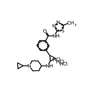 Cc1nnc(NC(=O)c2cccc(C3CC3NC3CCN(C4CC4)CC3)c2)s1.Cl.Cl.Cl